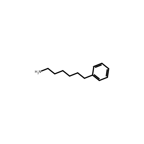 NCCCCCCc1[c]cccc1